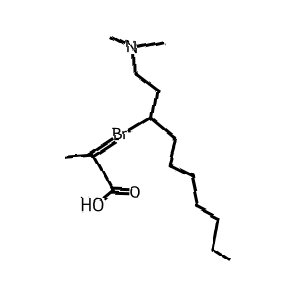 C=C(C)C(=O)O.CCCCCCCC(Br)CCN(C)C